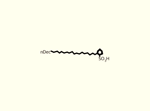 CCCCCCCCCCCCCCCCCCCCCCCCCCCCc1ccccc1S(=O)(=O)O